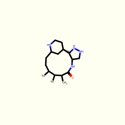 [2H]C1CCC2CC(C)(CCN2)C2NNCC2NC(=O)C(C)C1[2H]